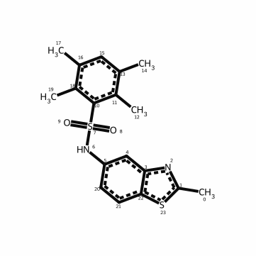 Cc1nc2cc(NS(=O)(=O)c3c(C)c(C)cc(C)c3C)ccc2s1